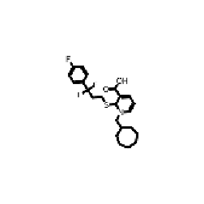 O=C(O)C1=CC=CN(CC2CCCCCC2)C1SCCC(F)(F)c1ccc(F)cc1